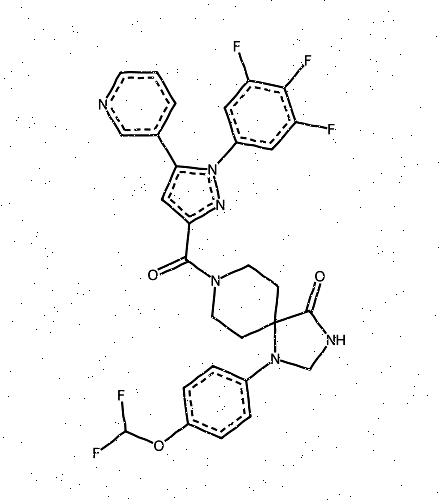 O=C(c1cc(-c2cccnc2)n(-c2cc(F)c(F)c(F)c2)n1)N1CCC2(CC1)C(=O)NCN2c1ccc(OC(F)F)cc1